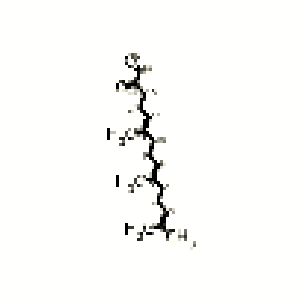 CC(C)=CCC/C(C)=C/CC/C(C)=C/CCC(=O)C=O